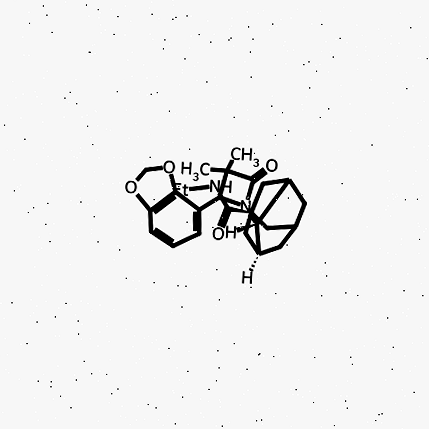 CCNC(=O)[C@]12CC3CC(C1)[C@@H](N1C(=O)C(C)(C)C1c1cccc4c1OCO4)[C@@H](C3)C2